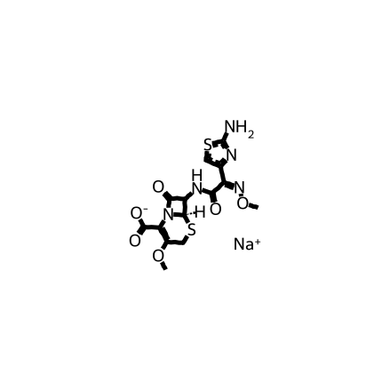 CO/N=C(\C(=O)NC1C(=O)N2C(C(=O)[O-])=C(OC)CS[C@H]12)c1csc(N)n1.[Na+]